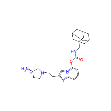 N[C@@H]1CCN(CCc2cn3c(OC(=O)NCC45CC6CC(CC(C6)C4)C5)cccc3n2)C1